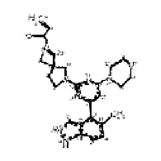 C=CC(=O)N1CC2(CCN(c3nc(-c4c(C)ccc5[nH]ncc45)cc(N4CCOCC4)n3)C2)C1